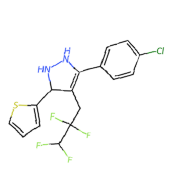 FC(F)C(F)(F)CC1=C(c2ccc(Cl)cc2)NNC1c1cccs1